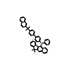 CC(C)(c1ccc(-c2ccc(N(c3ccccc3)c3c4c(cc5ccccc35)C(C)(C)c3ccccc3-4)cc2)cc1)c1ccc2ccccc2c1